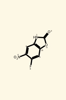 O=c1[nH]c2cc([N+](=O)[O-])c(F)cc2o1